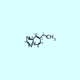 CCc1ccn2ncnc2c1